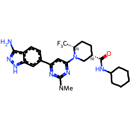 CNc1nc(-c2ccc3c(N)n[nH]c3c2)cc(N2C[C@@H](C(=O)NC3CCCCC3)CC[C@H]2C(F)(F)F)n1